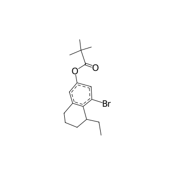 CCC1CCCc2cc(OC(=O)C(C)(C)C)cc(Br)c21